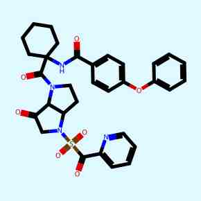 O=C(NC1(C(=O)N2CCC3C2C(=O)CN3S(=O)(=O)C(=O)c2ccccn2)CCCCC1)c1ccc(Oc2ccccc2)cc1